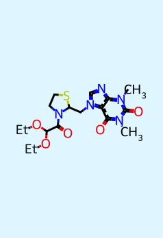 CCOC(OCC)C(=O)N1CCSC1Cn1cnc2c1c(=O)n(C)c(=O)n2C